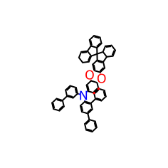 C1=CC2c3cc4c(cc3C3(C5=CCCC=C5c5ccccc53)C2C=C1)OC1C=C(N(c2cccc(-c3ccccc3)c2)c2ccc(-c3ccccc3)cc2-c2ccccc2)C=CC1O4